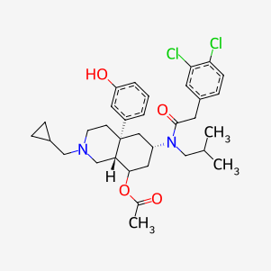 CC(=O)OC1C[C@@H](N(CC(C)C)C(=O)Cc2ccc(Cl)c(Cl)c2)C[C@]2(c3cccc(O)c3)CCN(CC3CC3)C[C@@H]12